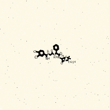 CC1(C)S[C@@H]2C(NC(=O)C(NC(=O)CNC(=N)c3ccc(Cl)c(Cl)c3)c3ccccc3)C(=O)N2[C@H]1C(=O)O